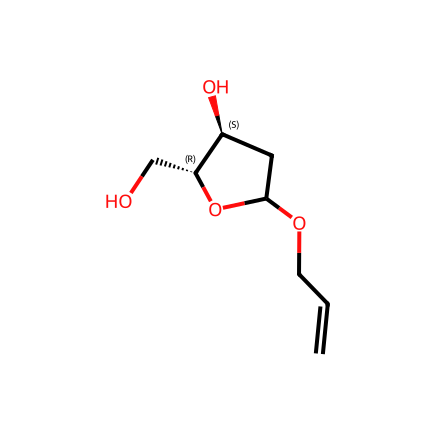 C=CCOC1C[C@H](O)[C@@H](CO)O1